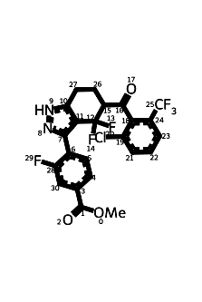 COC(=O)c1ccc(-c2n[nH]c3c2C(F)(F)C(C(=O)c2c(Cl)cccc2C(F)(F)F)CC3)c(F)c1